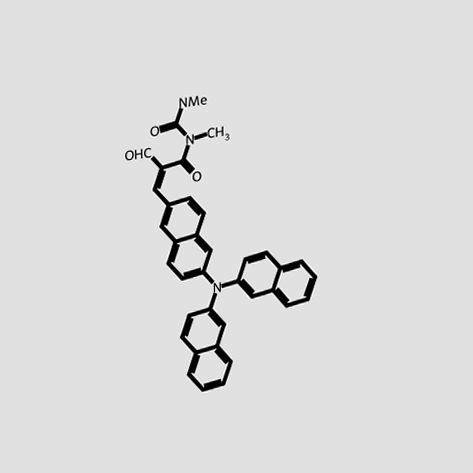 CNC(=O)N(C)C(=O)C(C=O)=Cc1ccc2cc(N(c3ccc4ccccc4c3)c3ccc4ccccc4c3)ccc2c1